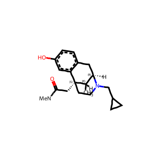 CNC(=O)C[C@]12CCN(CC3CC3)[C@H](Cc3ccc(O)cc31)[C@@H]2C